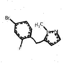 Cn1nccc1Cc1ccc(Br)cc1F